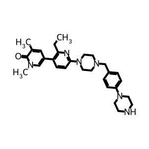 CCc1nc(N2CCN(Cc3ccc(N4CCNCC4)cc3)CC2)ccc1-c1cc(C)c(=O)n(C)c1